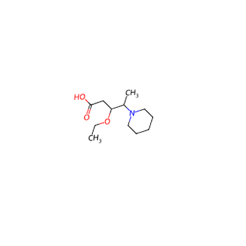 CCOC(CC(=O)O)C(C)N1CCCCC1